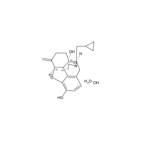 C=C1CC[C@@]2(O)[C@H]3Cc4ccc(O)c5c4[C@@]2(CCN3CC2CC2)[C@H]1O5.Cl.O